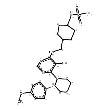 CS(=O)(=O)NC1CCC(CNc2ncnc(N3CCOC[C@@H]3c3ccc(OC(F)(F)F)cc3)c2F)CC1